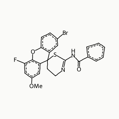 COc1cc(F)c2c(c1)C1(CCN=C(NC(=O)c3ccccc3)S1)c1cc(Br)ccc1O2